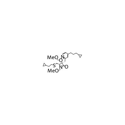 COCO[C@@]1(Cc2cc(CCCC3CC3)ccn2)C(=O)N(COC)[C@H]1CSCCC1CC1